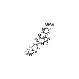 COc1ccc(-c2n[nH]c3nc(N4CCC5(CC4)CO[C@@H](C)C5)n(C)c(=O)c23)cn1